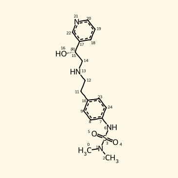 CN(C)S(=O)(=O)Nc1ccc(CCNC[C@H](O)c2cccnc2)cc1